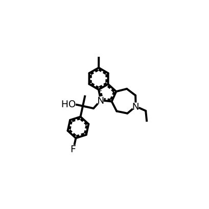 CCN1CCc2c(n(CC(C)(O)c3ccc(F)cc3)c3ccc(C)cc23)CC1